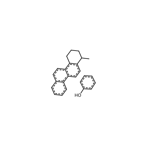 CC1CCCc2c1ccc1c2ccc2ccccc21.Oc1ccccc1